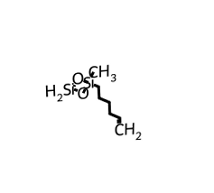 C=CCCCC[Si]1(C)O[SiH2]O1